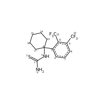 NC(=S)NC1(c2cccc(C(F)(F)F)c2C(F)(F)F)CCCCC1